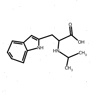 CC(C)NC(Cc1cc2ccccc2[nH]1)C(=O)O